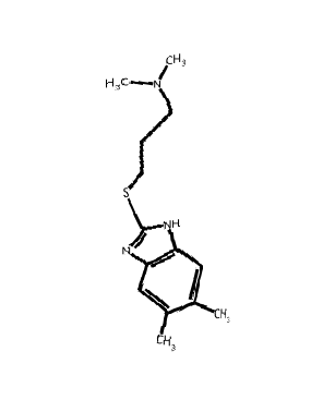 Cc1cc2nc(SCCCN(C)C)[nH]c2cc1C